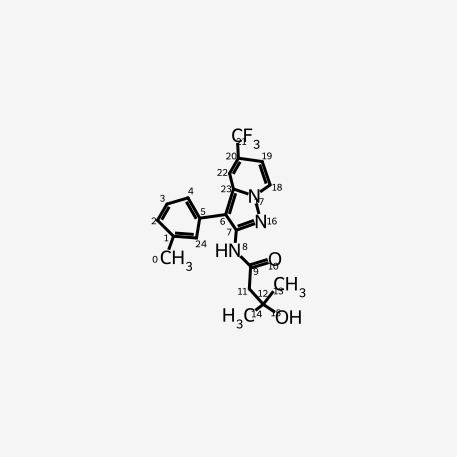 Cc1cccc(-c2c(NC(=O)CC(C)(C)O)nn3ccc(C(F)(F)F)cc23)c1